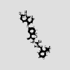 CC1c2cc(Oc3ccnc4c3CCC(=O)N4)ccc2O[C@H]1NC(=O)NCc1ccccc1C(F)(F)F